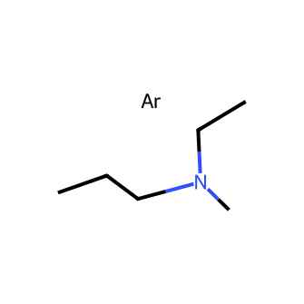 CCCN(C)CC.[Ar]